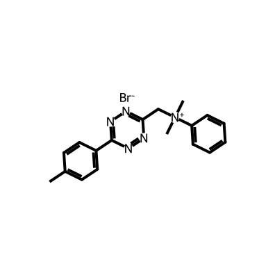 Cc1ccc(-c2nnc(C[N+](C)(C)c3ccccc3)nn2)cc1.[Br-]